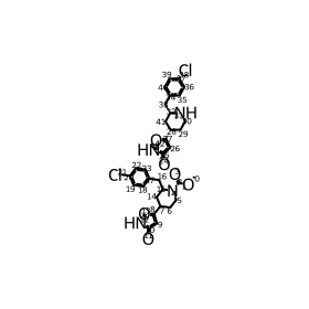 COC(=O)N1CCC(c2cc(=O)[nH]o2)CC1Cc1ccc(Cl)cc1.O=c1cc([C@H]2CCN[C@H](Cc3ccc(Cl)cc3)C2)o[nH]1